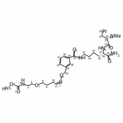 CCCOC(=O)NCCOCCC/C=N\OCc1cccc(C(=O)NCCCC[C@H](NC(=O)[C@H](CC(C)C)NC)C(N)=O)c1